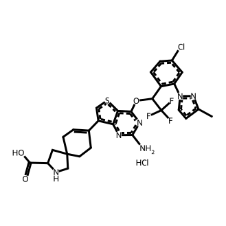 Cc1ccn(-c2cc(Cl)ccc2C(Oc2nc(N)nc3c(C4=CCC5(CC4)CNC(C(=O)O)C5)csc23)C(F)(F)F)n1.Cl